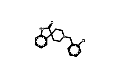 O=C1Nc2ccccc2C12CCN(Cc1ccccc1Cl)CC2